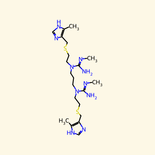 CN=C(N)N(CCCN(CCSCc1nc[nH]c1C)C(N)=NC)CCSCc1nc[nH]c1C